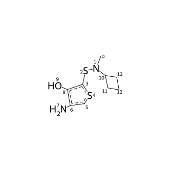 CN(Sc1scc(N)c1O)C1CCC1